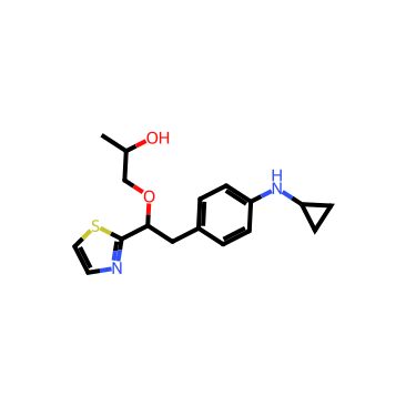 CC(O)COC(Cc1ccc(NC2CC2)cc1)c1nccs1